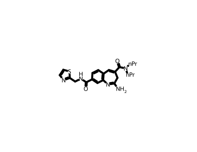 CCCN(CCC)C(=O)C1=Cc2ccc(C(=O)NCc3nccs3)cc2N=C(N)C1